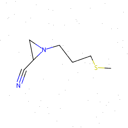 CSCCCN1CC1C#N